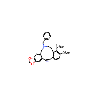 COc1ccc2c(c1OC)CCN(Cc1ccccc1)Cc1cc3c(cc1/C=C\2)OCO3